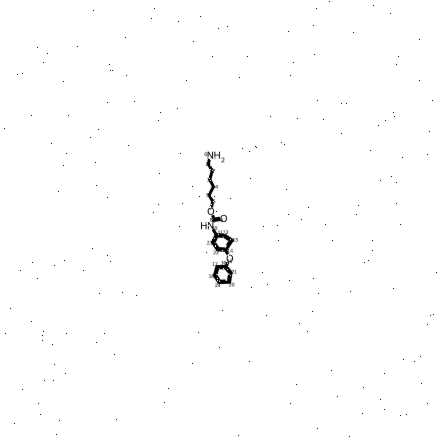 NCCCCCCOC(=O)Nc1ccc(Oc2ccccc2)cc1